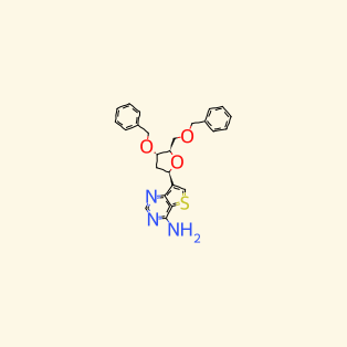 Nc1ncnc2c([C@H]3C[C@H](OCc4ccccc4)[C@@H](COCc4ccccc4)O3)csc12